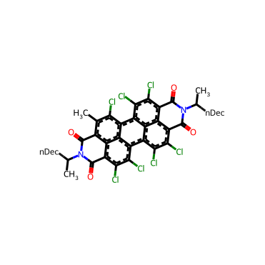 CCCCCCCCCCC(C)N1C(=O)c2c(C)c(Cl)c3c4c(Cl)c(Cl)c5c6c(c(Cl)c(Cl)c(c7c(Cl)c(Cl)c(c2c37)C1=O)c64)C(=O)N(C(C)CCCCCCCCCC)C5=O